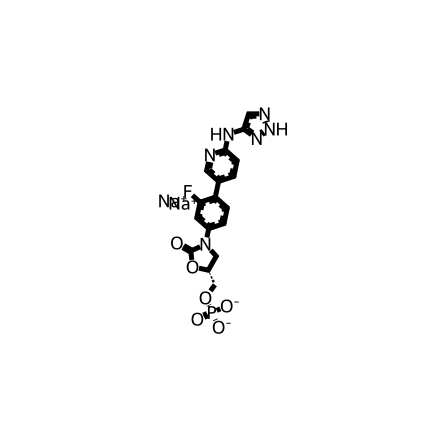 O=C1O[C@@H](COP(=O)([O-])[O-])CN1c1ccc(-c2ccc(Nc3cn[nH]n3)nc2)c(F)c1.[Na+].[Na+]